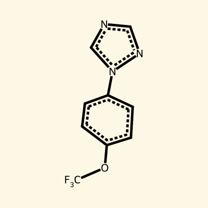 FC(F)(F)Oc1ccc(-n2cncn2)cc1